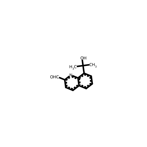 CC(C)(O)c1cccc2ccc(C=O)nc12